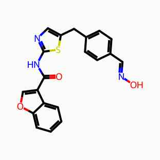 O=C(Nc1ncc(Cc2ccc(C=NO)cc2)s1)c1coc2ccccc12